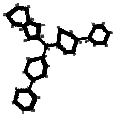 c1ccc(-c2ccc(N(c3ccc(-c4ccccc4)cc3)c3nc4ccccc4s3)cc2)cc1